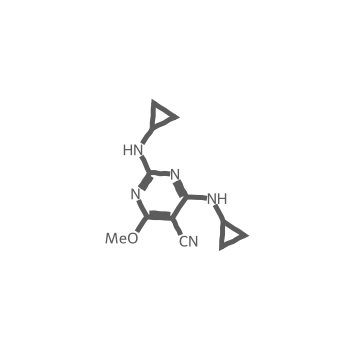 COc1nc(NC2CC2)nc(NC2CC2)c1C#N